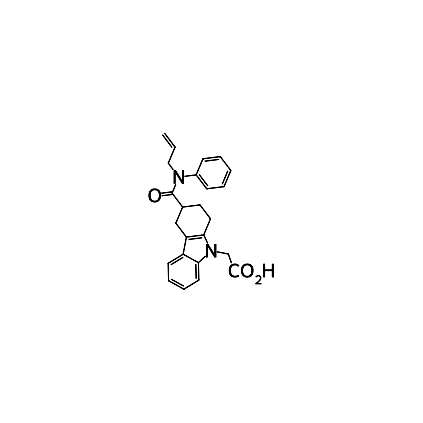 C=CCN(C(=O)C1CCc2c(c3ccccc3n2CC(=O)O)C1)c1ccccc1